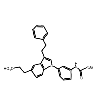 CC(C)(C)C(=O)Nc1cccc(-n2cc(CCc3ccccc3)c3cc(CCC(=O)O)ccc32)c1